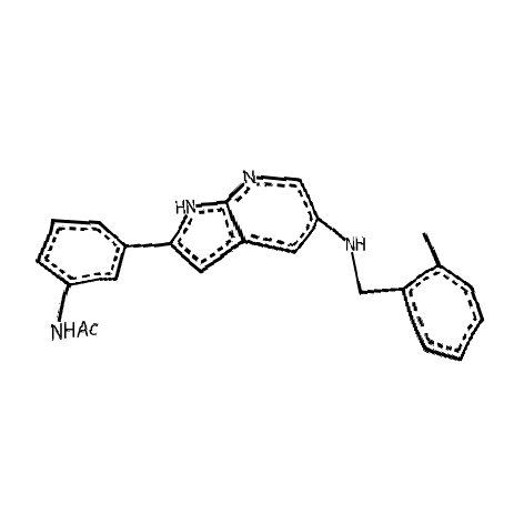 CC(=O)Nc1cccc(-c2cc3cc(NCc4ccccc4C)cnc3[nH]2)c1